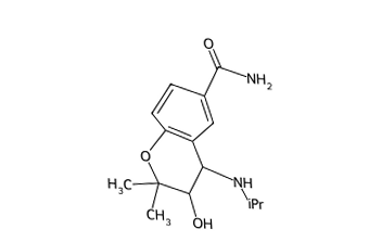 CC(C)NC1c2cc(C(N)=O)ccc2OC(C)(C)C1O